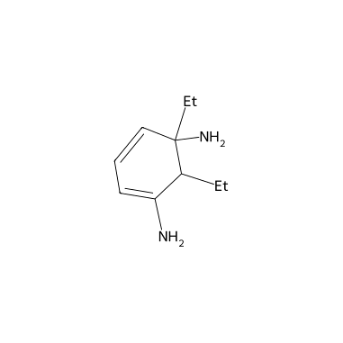 CCC1C(N)=CC=CC1(N)CC